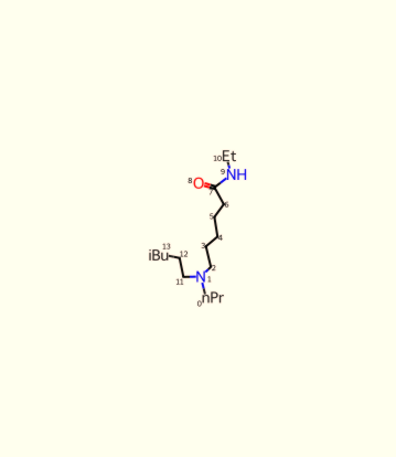 CCCN(CCCCCC(=O)NCC)CCC(C)CC